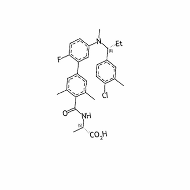 CC[C@H](c1ccc(Cl)c(C)c1)N(C)c1ccc(F)c(-c2cc(C)c(C(=O)N[C@@H](C)C(=O)O)c(C)c2)c1